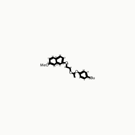 CCC(C)c1ccc(OC(C)OCCOc2ccc3ccc(OC)cc3c2)cc1